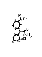 NC(=O)C(c1cc(C(F)F)ccn1)c1ccccc1Cl